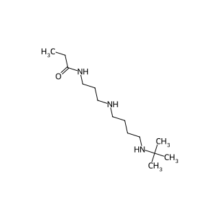 CCC(=O)NCCCNCCCCNC(C)(C)C